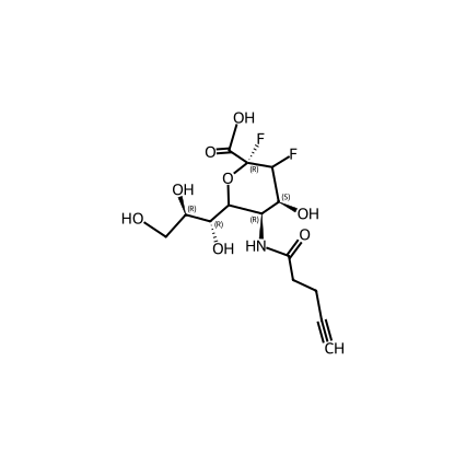 C#CCCC(=O)N[C@H]1C([C@H](O)[C@H](O)CO)O[C@@](F)(C(=O)O)C(F)[C@H]1O